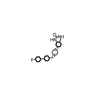 O=C1NCc2ccc(N3CCN(Cc4ccc(-c5ccc(F)cc5)cc4)CC3)cc2N1